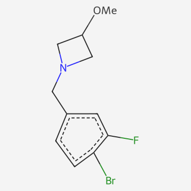 COC1CN(Cc2ccc(Br)c(F)c2)C1